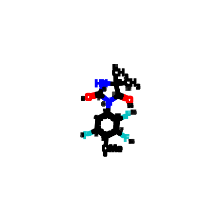 COc1c(F)cc(N2C(=O)NC(C)(C)C2=O)c(F)c1F